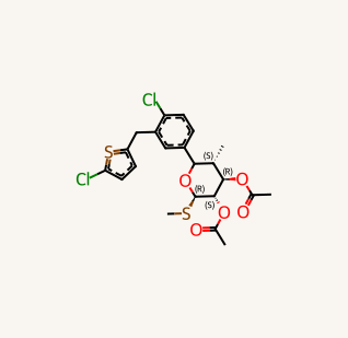 CS[C@H]1OC(c2ccc(Cl)c(Cc3ccc(Cl)s3)c2)[C@H](C)[C@@H](OC(C)=O)[C@@H]1OC(C)=O